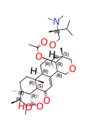 CC(=O)O[C@@H]1C[C@@]23COC[C@](C)([C@@H]2CC[C@H]2C3=CC(=O)[C@@]3(C)[C@H](C(=O)O)[C@@](C)([C@H](C)C(C)C)CC[C@]23C)[C@H]1OC[C@@](C)(C(C)C)N(C)C